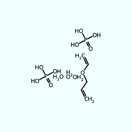 C=CCOC=C.O.O.O.O=P(O)(O)O.O=P(O)(O)O